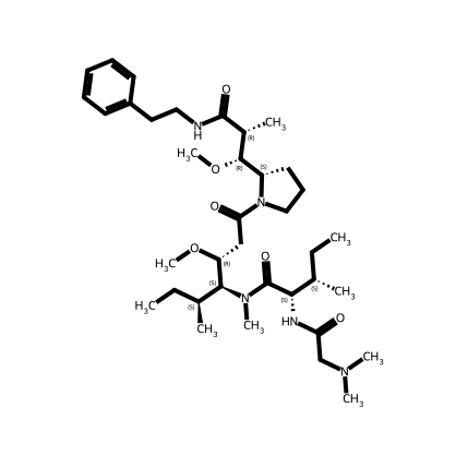 CC[C@H](C)[C@@H]([C@@H](CC(=O)N1CCC[C@H]1[C@H](OC)[C@@H](C)C(=O)NCCc1ccccc1)OC)N(C)C(=O)[C@@H](NC(=O)CN(C)C)[C@@H](C)CC